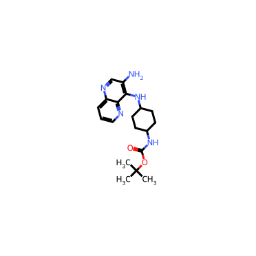 CC(C)(C)OC(=O)NC1CCC(Nc2c(N)cnc3cccnc23)CC1